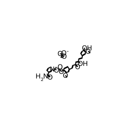 COc1cc(C=CC(O)=CC(=O)C=Cc2ccc(OC(=O)OC[n+]3cccc(C(N)=O)c3)c(OC)c2)ccc1O.CS(=O)(=O)[O-]